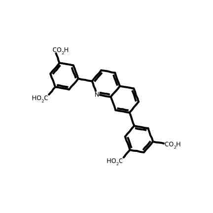 O=C(O)c1cc(C(=O)O)cc(-c2ccc3ccc(-c4cc(C(=O)O)cc(C(=O)O)c4)nc3c2)c1